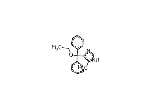 CCOC(c1ccccc1)(c1ccccc1)c1nc[nH]c1C